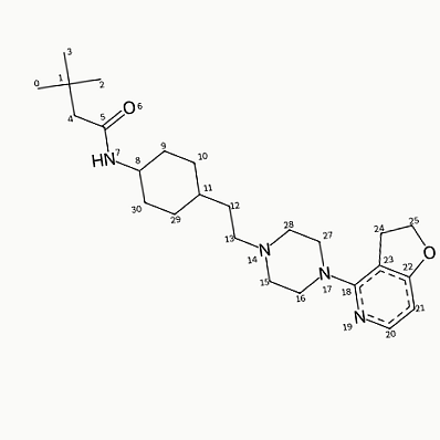 CC(C)(C)CC(=O)NC1CCC(CCN2CCN(c3nccc4c3CCO4)CC2)CC1